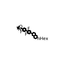 CCCCCCC1CCC2CC(c3cc(F)c(-c4ccc(C5=NC(C)(C)CO5)c(F)c4)c(F)c3)CCC2C1